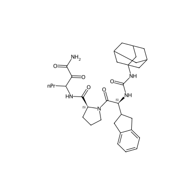 CCCC(NC(=O)[C@@H]1CCCN1C(=O)[C@@H](NC(=O)NC12CC3CC(CC(C3)C1)C2)C1Cc2ccccc2C1)C(=O)C(N)=O